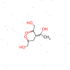 C/C(O)=C(\CC(=O)CO)C(=O)CO